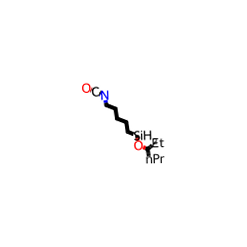 CCCC(CC)O[SiH2]CCCCCN=C=O